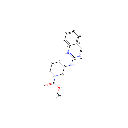 CC(C)(C)OC(=O)N1CCCC(Nc2ncc3ccccc3n2)C1